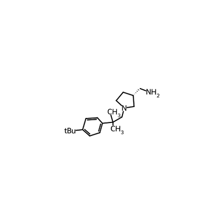 CC(C)(C)c1ccc(C(C)(C)CN2CC[C@H](CN)C2)cc1